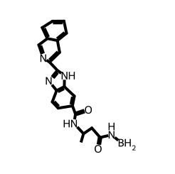 BNC(=O)CC(C)NC(=O)c1ccc2nc(-c3cc4ccccc4cn3)[nH]c2c1